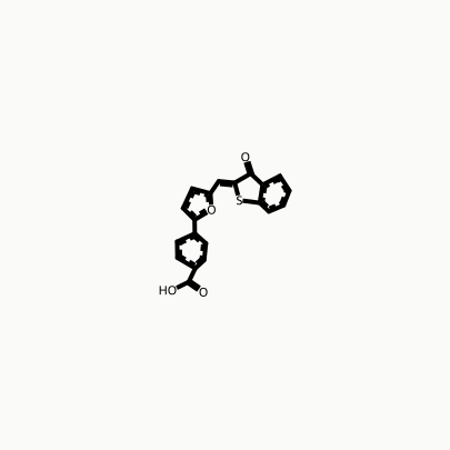 O=C(O)c1ccc(-c2ccc(C=C3Sc4ccccc4C3=O)o2)cc1